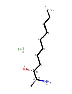 CCCCCCCCCCCCCCC[C@@H](O)[C@H](C)N.Cl